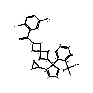 O=C(c1cc(O)ccc1F)N1CC2(CC(C3(c4ccccc4C(F)(F)F)N=NC=C3C3CC3)C2)C1